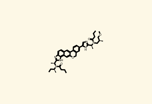 CCCC(=O)N(C[C@H](C)COC)[C@@H](C)c1ncc(-c2ccc3c(c2)COc2cc4c(ccc5nc([C@H](C)N(C(=O)CCC)[C@@H](C)CC)[nH]c54)cc2-3)[nH]1